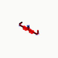 CCCCC/C=C\C/C=C\CCCCCCCCOC(=O)COCC(=O)OCCCC(CCCOC(=O)COCC(=O)OCCCCCCCC/C=C\C/C=C\CCCCC)OC(=O)CCCN(C)C